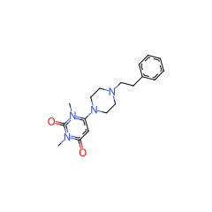 Cn1c(N2CCN(CCc3ccccc3)CC2)cc(=O)n(C)c1=O